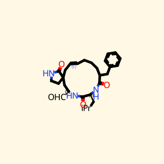 CC(C)C[C@@H]1NC(=O)C(Cc2ccccc2)CCC/C=C/CC2(CCNC2=O)C[C@@H](C=O)NC1=O